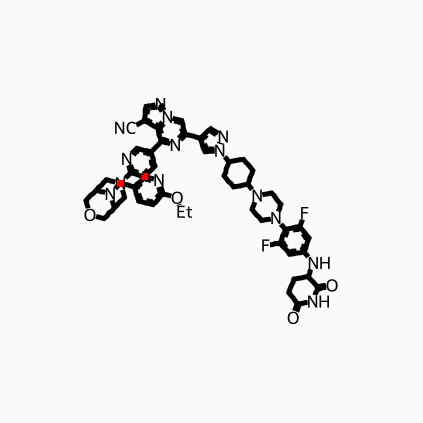 CCOc1ccc(CN2C3COCC2CN(c2ccc(-c4nc(-c5cnn(C6CCC(N7CCN(c8c(F)cc(NC9CCC(=O)NC9=O)cc8F)CC7)CC6)c5)cn5ncc(C#N)c45)cn2)C3)cn1